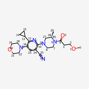 COCCC(=O)N1CCN(c2nc(C3CC3)c(N3CCOCC3)cc2C#N)C[C@H]1C